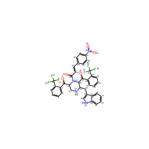 O=C(c1ccccc1C(F)(F)F)C1CNC(Cc2c[nH]c3ccccc23)C(C(=O)c2ccccc2C(F)(F)F)N1C(=O)/C=C/c1ccc([N+](=O)[O-])cc1